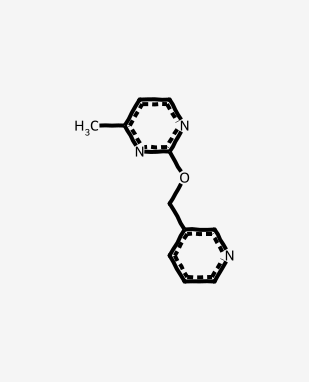 Cc1ccnc(OCc2cccnc2)n1